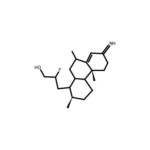 CC1CC2C(CC(F)CO)[C@H](C)CCC2[C@@]2(C)CCC(=N)C=C12